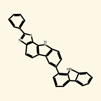 c1ccc(-c2nc3ccc4c5cc(-c6cccc7c6[nH]c6ccccc67)ccc5[nH]c4c3s2)cc1